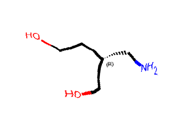 NC[C@H](CO)CCO